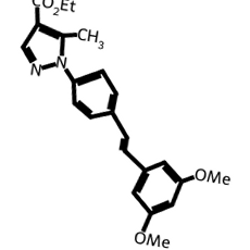 CCOC(=O)c1cnn(-c2ccc(/C=C/c3cc(OC)cc(OC)c3)cc2)c1C